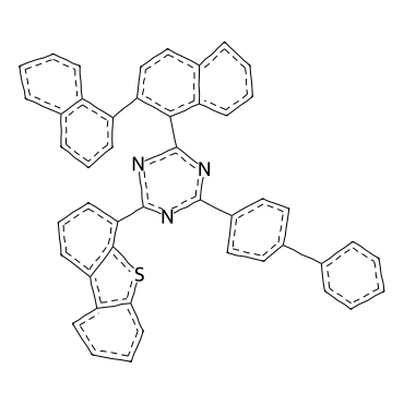 c1ccc(-c2ccc(-c3nc(-c4c(-c5cccc6ccccc56)ccc5ccccc45)nc(-c4cccc5c4sc4ccccc45)n3)cc2)cc1